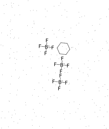 C1CCCCC1.F[B-](F)(F)F.F[B-](F)(F)F.F[B-](F)(F)F